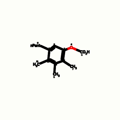 CCCCCc1cc(OC(=O)O)c(C)c(C)c1C